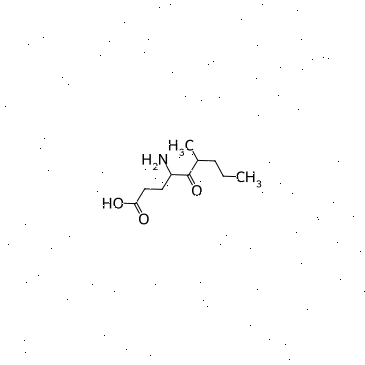 CCCC(C)C(=O)C(N)CCC(=O)O